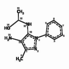 Cc1nn(-c2ccccc2)c(NC(C)O)c1N